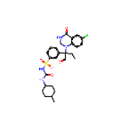 CCC(C=O)(c1cccc(S(=O)(=O)NC(=O)NC2CCC(C)CC2)c1)N1CNC(=O)c2cc(Cl)ccc21